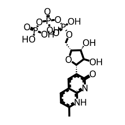 Cc1ccc2cc([C@@H]3O[C@H](COP(=O)(O)OP(=O)(O)OP(=O)(O)O)[C@H](O)C3O)c(=O)nc-2[nH]1